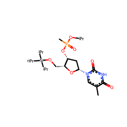 CCC[Si](OC[C@H]1O[C@@H](n2cc(C)c(=O)[nH]c2=O)C[C@H]1OP(C)(=O)OC(C)C)(C(C)C)C(C)C